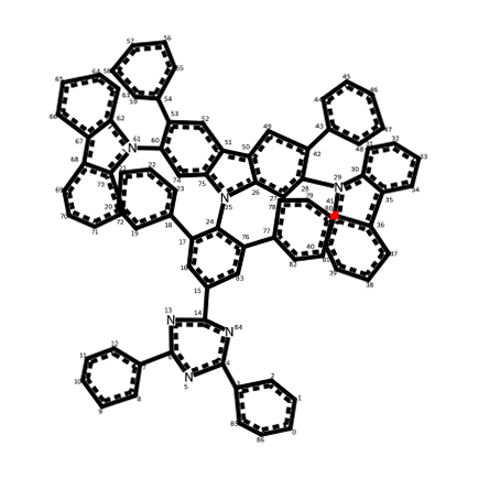 c1ccc(-c2nc(-c3ccccc3)nc(-c3cc(-c4ccccc4)c(-n4c5cc(-n6c7ccccc7c7ccccc76)c(-c6ccccc6)cc5c5cc(-c6ccccc6)c(-n6c7ccccc7c7ccccc76)cc54)c(-c4ccccc4)c3)n2)cc1